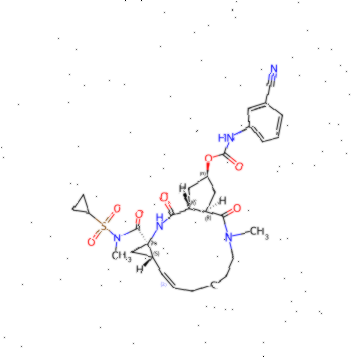 CN1CCCC/C=C\[C@@H]2C[C@@]2(C(=O)N(C)S(=O)(=O)C2CC2)NC(=O)[C@@H]2C[C@@H](OC(=O)Nc3cccc(C#N)c3)C[C@H]2C1=O